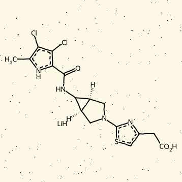 Cc1[nH]c(C(=O)NC2[C@H]3CN(c4nc(CC(=O)O)cs4)C[C@@H]23)c(Cl)c1Cl.[LiH]